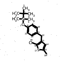 CC(C)(C)[Si](C)(C)Oc1ccc(Cc2cc(I)sc2Cl)cc1